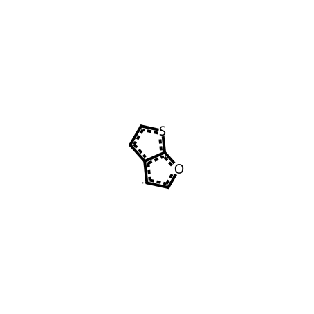 [c]1coc2sccc12